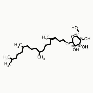 CC(=CCCOC1O[C@H](CO)[C@@H](O)[C@H](O)[C@@H]1O)CCCC(C)CCCC(C)CCCC(C)C